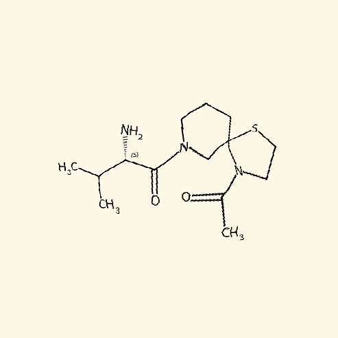 CC(=O)N1CCSC12CCCN(C(=O)[C@@H](N)C(C)C)C2